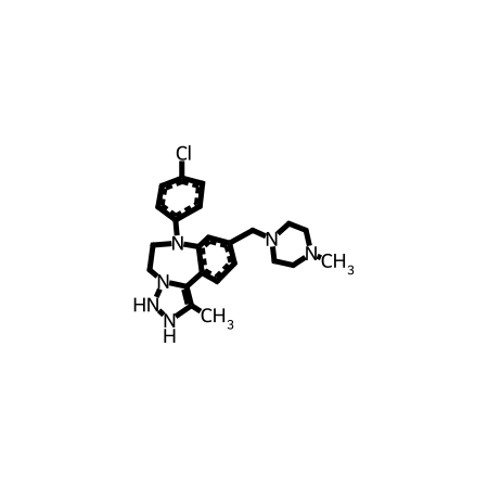 CC1=C2c3ccc(CN4CCN(C)CC4)cc3N(c3ccc(Cl)cc3)CCN2NN1